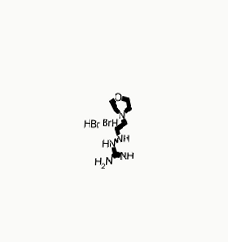 Br.Br.N=C(N)NNCCN1CCOCC1